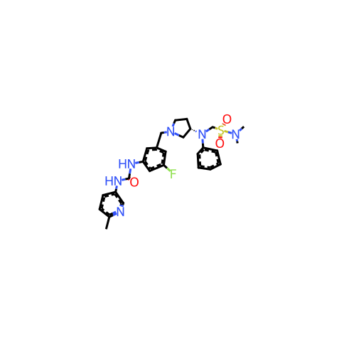 Cc1ccc(NC(=O)Nc2cc(F)cc(CN3CC[C@H](N(CS(=O)(=O)N(C)C)c4ccccc4)C3)c2)cn1